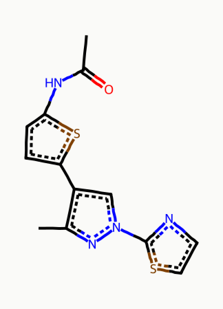 CC(=O)Nc1ccc(-c2cn(-c3nccs3)nc2C)s1